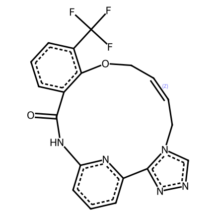 O=C1Nc2cccc(n2)-c2nncn2C/C=C\COc2c1cccc2C(F)(F)F